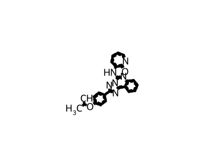 CC(C)Oc1ccc(-c2nc3c4ccccc4nc(Nc4ccccnc4=O)n3n2)cc1